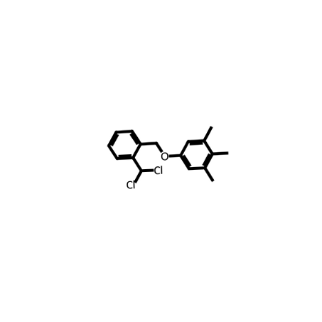 Cc1cc(OCc2ccccc2C(Cl)Cl)cc(C)c1C